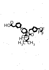 CC(C)(C)CN1C(=O)N(Cc2ccc(OC(F)(F)F)cc2)C2(CCN(c3cccc(CC(=O)O)c3)CC2)C1=O